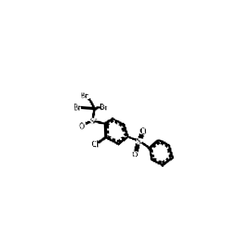 O=S(=O)(c1ccccc1)c1ccc([S+]([O-])C(Br)(Br)Br)c(Cl)c1